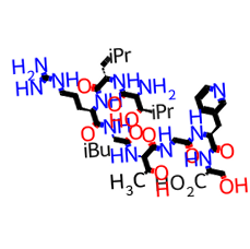 CC[C@H](C)[C@H](NC(=O)[C@@H](CCCNC(=N)N)NC(=O)[C@H](CC(C)C)NC(=O)[C@@H](N)[C@H](O)C(C)C)C(=O)N[C@H](C(=O)NCC(=O)N[C@@H](Cc1cccnc1)C(=O)N[C@@H](CO)C(=O)O)[C@H](C)O